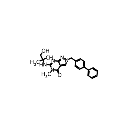 Cn1c(NC(C)(C)CO)nc2nn(Cc3ccc(-c4ccccc4)cc3)cc2c1=O